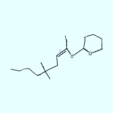 CCCCC(C)(C)C/C=C(/I)OC1CCCCO1